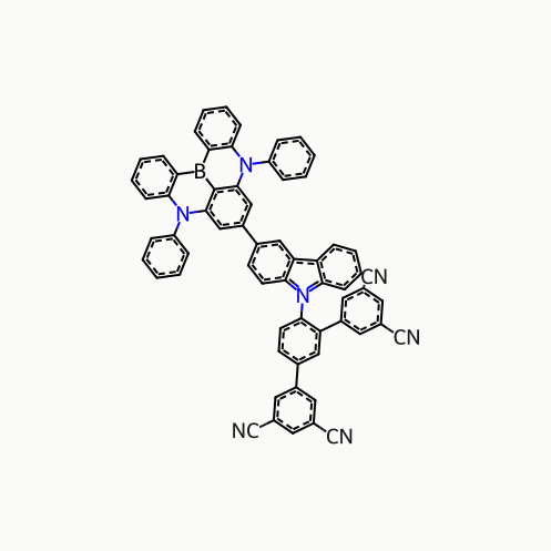 N#Cc1cc(C#N)cc(-c2ccc(-n3c4ccccc4c4cc(-c5cc6c7c(c5)N(c5ccccc5)c5ccccc5B7c5ccccc5N6c5ccccc5)ccc43)c(-c3cc(C#N)cc(C#N)c3)c2)c1